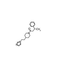 CC(CC(=O)N1CCC(CCn2ccnc2)CC1)c1ccccc1